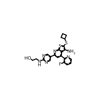 Nc1c(SC2CCC2)sc2nc(-c3cnc(NCCO)nc3)cc(-c3ncccc3F)c12